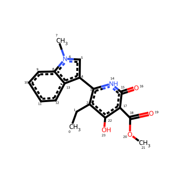 CCc1c(-c2cn(C)c3ccccc23)[nH]c(=O)c(C(=O)OC)c1O